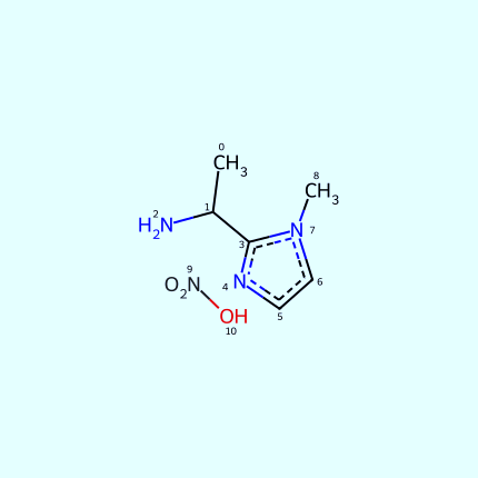 CC(N)c1nccn1C.O=[N+]([O-])O